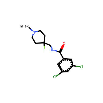 CCCCCCN1CCC(F)(CNC(=O)c2cc(Cl)cc(Cl)c2)CC1